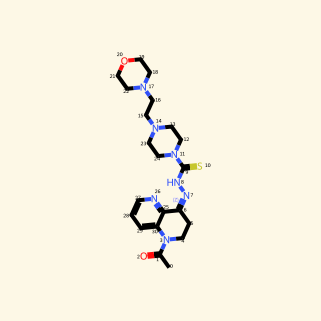 CC(=O)N1CC/C(=N/NC(=S)N2CCN(CCN3CCOCC3)CC2)c2ncccc21